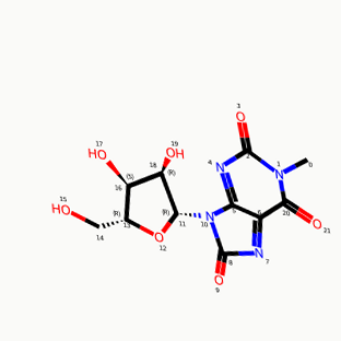 CN1C(=O)N=C2C(=NC(=O)N2[C@@H]2O[C@H](CO)[C@@H](O)[C@H]2O)C1=O